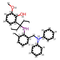 CCC(CC)(Pc1c(C)cccc1CN(c1ccccc1)c1ccccc1)c1cccc(OC)c1O